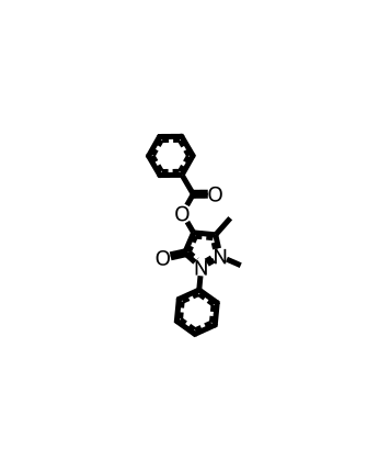 Cc1c(OC(=O)c2ccccc2)c(=O)n(-c2ccccc2)n1C